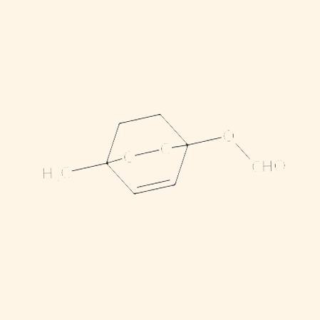 CC12C=CC(OC=O)(CC1)CC2